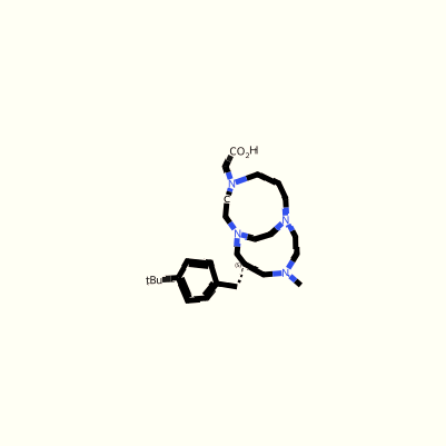 CN1CCN2CCCN(CC(=O)O)CCN(CC2)C[C@@H](Cc2ccc(C(C)(C)C)cc2)C1